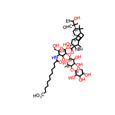 CCCCC1(C(=O)O[C@@H]2O[C@H](CO)C(NC(=O)CCCCCCCCCCC(=O)O)C(O)C2O[C@@H]2O[C@H](C)C(O[C@@H]3OC[C@@H](O)C(O)C3O)C(O)C2O)C(C)C2=C3CC4C(C)(C)[C@H](C(C)(C=O)C(O)CC)CC[C@]34[C@]2(C)C[C@H]1O